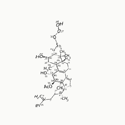 C=C(CC[C@@H](C)[C@H]1CC=C2C3=C([C@@H](O)[C@H](OC(C)=O)[C@@]21C)[C@@]1(C)C[C@@H](O)[C@H](OSOOO)C(C)(C)[C@@H]1CC3)C(C)C